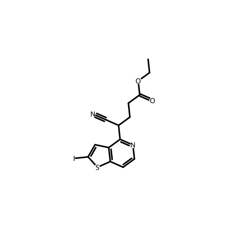 CCOC(=O)CCC(C#N)c1nccc2sc(I)cc12